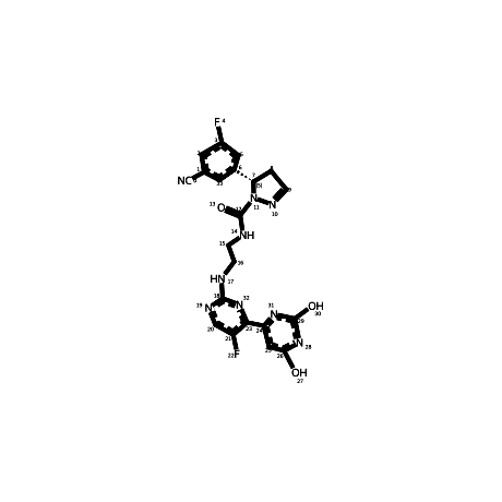 N#Cc1cc(F)cc([C@@H]2CC=NN2C(=O)NCCNc2ncc(F)c(-c3cc(O)nc(O)n3)n2)c1